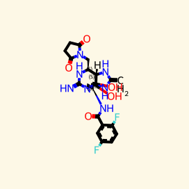 C=C1N[C@H]2[C@H](CN3C(=O)CCC3=O)NC(=N)N3C[C@H](NC(=O)c4cc(F)ccc4F)C(O)(O)[C@]23N1